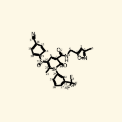 Cc1cc(CNC(=O)c2cc([S+]([O-])c3ccc(C#N)cc3)c(C)n(-c3cccc(C(F)(F)F)c3)c2=O)on1